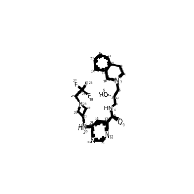 O=C(NC[C@H](O)CN1CCc2ccccc2C1)c1cc(NC2CN(CC(F)(F)F)C2)ncn1